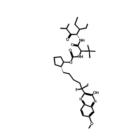 CCC(CC)[C@H](NC(=O)C(NC(=O)OC1CCC[C@H]1CCCCC(F)(F)c1nc2ccc(OC)cc2nc1O)C(C)(C)C)C(=O)C(C)C